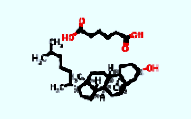 CC(C)CCCC(C)[C@H]1CC[C@H]2[C@@H]3CC=C4C[C@@H](O)CC[C@]4(C)[C@H]3CC[C@]12C.O=C(O)CCCCC(=O)O